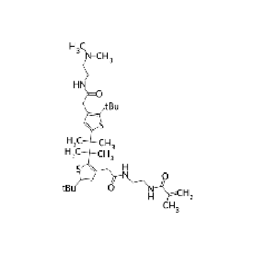 C=C(C)C(=O)NCCNC(=O)Cc1cc(C(C)(C)C)sc1C(C)(C)C(C)(C)c1cc(CC(=O)NCCN(C)C)c(C(C)(C)C)s1